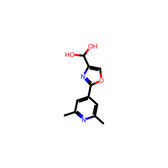 Cc1cc(-c2nc(C(O)O)co2)cc(C)n1